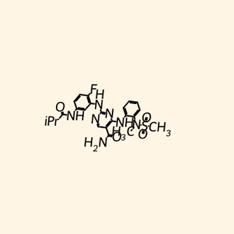 CC(C)C(=O)Nc1ccc(F)c(Nc2ncc(C(N)=O)c(Nc3ccccc3N(C)S(C)(=O)=O)n2)c1